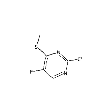 CSc1nc(Cl)ncc1F